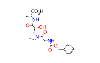 CC(NC(=O)C(O)[C@@H]1CCCN1C(=O)CNC(=O)OCc1ccccc1)C(=O)O